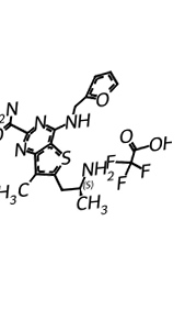 Cc1c(C[C@H](C)N)sc2c(NCc3ccco3)nc(C(N)=O)nc12.O=C(O)C(F)(F)F